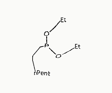 [CH2]CCCCCP(OCC)OCC